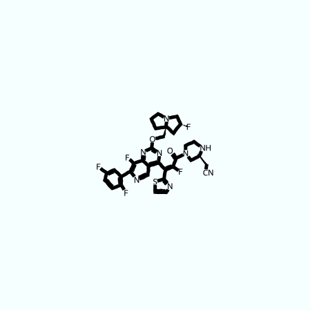 N#CC[C@H]1CN(C(=O)/C(F)=C(/c2nccs2)c2nc(OC[C@@]34CCCN3C[C@H](F)C4)nc3c(F)c(-c4cc(F)ccc4F)ncc23)CCN1